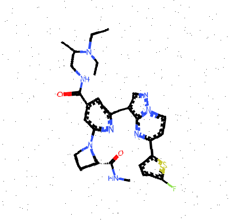 CCN(CC)C(C)CNC(=O)c1cc(-c2cnn3ccc(-c4ccc(F)s4)nc23)nc(N2CC[C@H]2C(=O)NC)c1